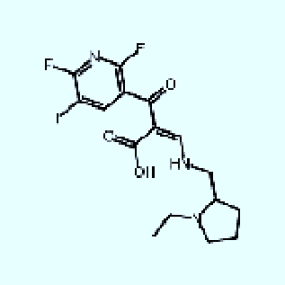 CCN1CCCC1CNC=C(C(=O)O)C(=O)c1cc(I)c(F)nc1F